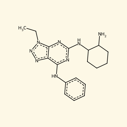 CCn1nnc2c(Nc3ccccc3)nc(NC3CCCCC3N)nc21